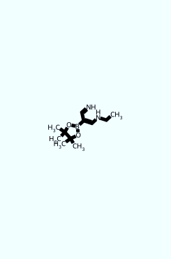 CCN/C=C(\C=N)B1OC(C)(C)C(C)(C)O1